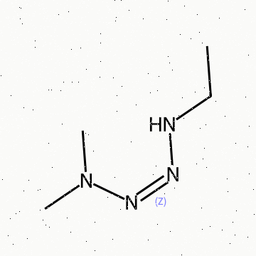 CCN/N=N\N(C)C